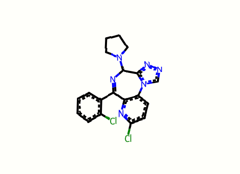 Clc1ccc2c(n1)C(c1ccccc1Cl)=NC(N1CCCC1)c1nncn1-2